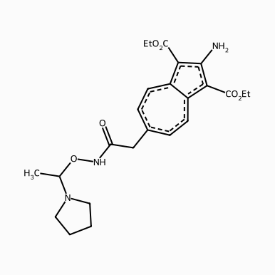 CCOC(=O)c1c2ccc(CC(=O)NOC(C)N3CCCC3)ccc-2c(C(=O)OCC)c1N